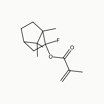 C=C(C)C(=O)OC1(F)CC2CCC1(C)C2(C)C